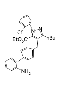 CCCCc1nn(-c2ccccc2Cl)c(C(=O)OCC)c1Cc1ccc(-c2ccccc2N)cc1